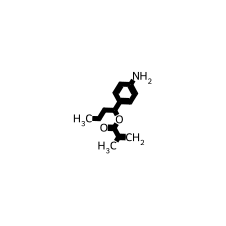 C=C(C)C(=O)OC(CCC)c1ccc(N)cc1